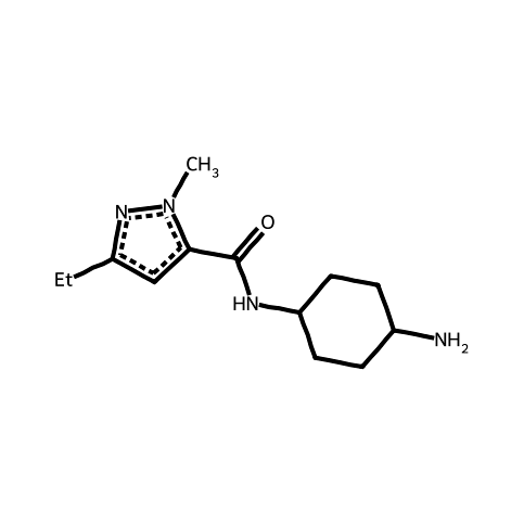 CCc1cc(C(=O)NC2CCC(N)CC2)n(C)n1